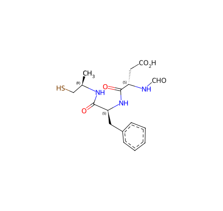 C[C@H](CS)NC(=O)[C@H](Cc1ccccc1)NC(=O)[C@H](CC(=O)O)NC=O